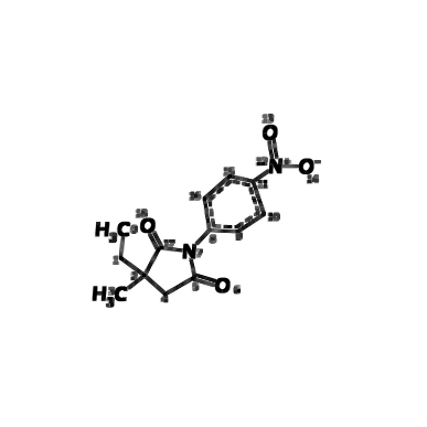 CCC1(C)CC(=O)N(c2ccc([N+](=O)[O-])cc2)C1=O